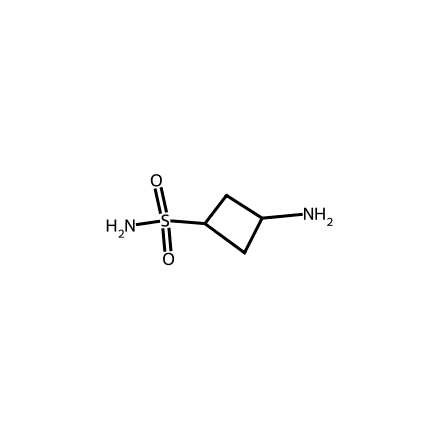 NC1CC(S(N)(=O)=O)C1